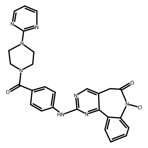 O=C(c1ccc(Nc2ncc3c(n2)-c2ccccc2N(Cl)C(=O)C3)cc1)N1CCN(c2ncccn2)CC1